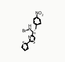 O=[N+]([O-])c1ccc(C[C@@H](NBr)c2csc(-c3cccs3)n2)cc1